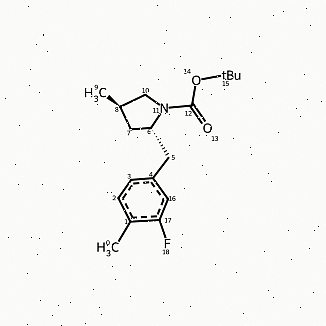 Cc1ccc(C[C@@H]2C[C@@H](C)CN2C(=O)OC(C)(C)C)cc1F